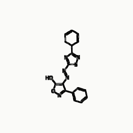 Oc1onc(-c2ccccc2)c1N=Nc1nc(C2C=CC=CC2)ns1